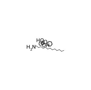 CCCCCCCCCCCCCN.O=S(=O)(O)O.c1ccccc1